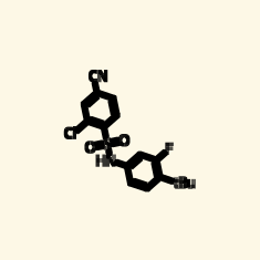 CC(C)(C)c1ccc(NS(=O)(=O)c2ccc(C#N)cc2Cl)cc1F